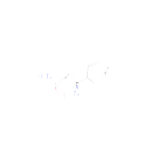 N=C(/C=C(/N)O)c1ccc(F)cc1